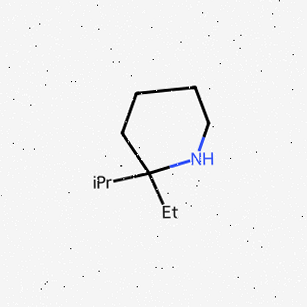 CCC1(C(C)C)CCCCN1